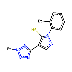 CCc1ccccc1-n1ncc(-c2nnn(CC)n2)c1S